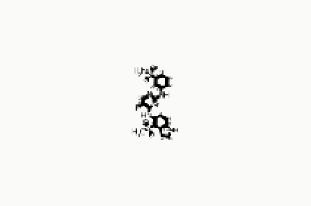 CS(=O)(=O)c1c(Nc2nc(Nc3cccc(S(N)(=O)=O)c3)ncc2F)ccc2c1CCN2